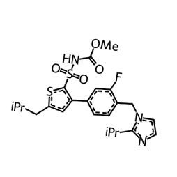 COC(=O)NS(=O)(=O)c1sc(CC(C)C)cc1-c1ccc(Cn2ccnc2C(C)C)c(F)c1